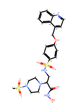 CS(=O)(=O)N1CCN(C(CNS(=O)(=O)c2ccc(OCc3ccnc4ccccc34)cc2)C(=O)NO)CC1